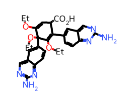 CCOC1=CC(C(=O)O)C(c2ccc3nc(N)ncc3c2)=C(OCC)C1(OCC)c1ccc2nc(N)ncc2c1